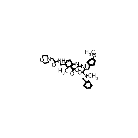 COc1ccc(C[C@H](Nc2nc3ccc(CNC(=O)CN4CCOCC4)c(C)c3c(=O)o2)C(=O)N(C)Cc2ccccc2)cc1